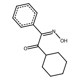 O=C(C(=NO)c1ccccc1)C1CCCCC1